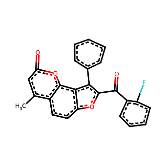 Cc1cc(=O)oc2c1ccc1oc(C(=O)c3ccccc3F)c(-c3ccccc3)c12